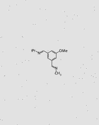 C/N=C/c1cc(/C=N/C(C)C)cc(OC)c1